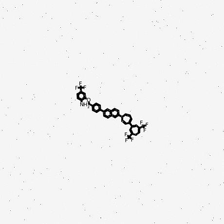 Nc1ccc(C(F)(F)F)cc1OCc1ccc(-c2ccc3cc(C4C=CC=C(C5=CC(C(F)(F)F)=CCC(C(F)(F)F)=C5)C=C4)ccc3c2)cc1